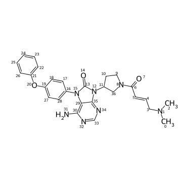 CN(C)CC=CC(=O)N1CCC(n2c(=O)n(-c3ccc(Oc4ccccc4)cc3)c3c(N)ncnc32)C1